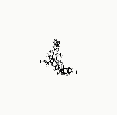 C[C@@H](NC(=O)Cn1cnnn1)[C@H]1C(=O)N2C(C(=O)O)=C(S[C@@H]3CN[C@H](C(=O)N4C5CCC4CC4(CCNC4)C5)C3)[C@H](C)[C@H]12